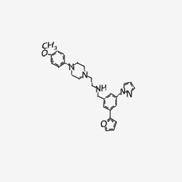 COc1ccc(N2CCN(CCNCc3cc(-c4ccco4)cc(-n4cccn4)c3)CC2)cc1